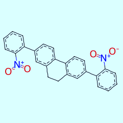 O=[N+]([O-])c1ccccc1-c1ccc2c(c1)CCc1cc(-c3ccccc3[N+](=O)[O-])ccc1-2